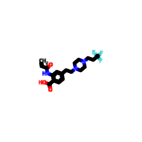 C=CC(=O)Nc1cc(CCN2CCN(CCC(F)(F)F)CC2)ccc1C(=O)O